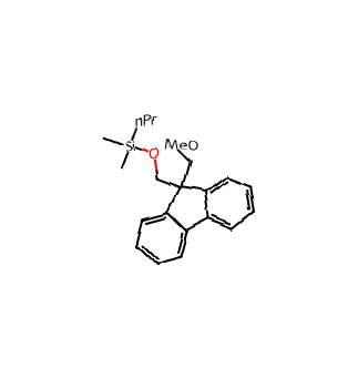 CCC[Si](C)(C)OCC1(COC)c2ccccc2-c2ccccc21